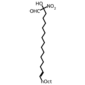 CCCCCCCCC=CCCCCCCCCCCCCC(O)([C]=O)[N+](=O)[O-]